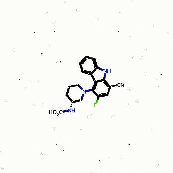 N#Cc1cc(F)c(N2CCC[C@@H](NC(=O)O)C2)c2c1[nH]c1ccccc12